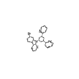 Brc1ccc2c3cccnc3n(-c3cc(-c4ccccn4)cc(-c4ccccn4)c3)c2c1